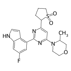 CC1COCCN1c1cc(C2CCCS2(=O)=O)nc(-c2cc(F)cc3[nH]ccc23)n1